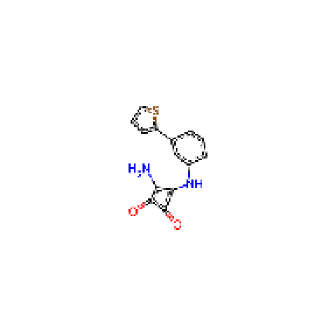 Nc1c(Nc2cccc(-c3cccs3)c2)c(=O)c1=O